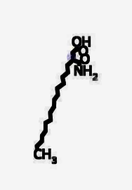 CCCCCCCCCCCCCCCC/C(=C/C(=O)O)C(N)=O